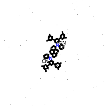 Cc1cc(C)cc(-c2cc(-c3cc(C)cc(C)c3)cc(N(c3ccccc3C#N)c3ccc4ccc5c(N(c6cc(-c7cc(C)cc(C)c7)cc(-c7cc(C)cc(C)c7)c6)c6ccccc6C#N)ccc6ccc3c4c65)c2)c1